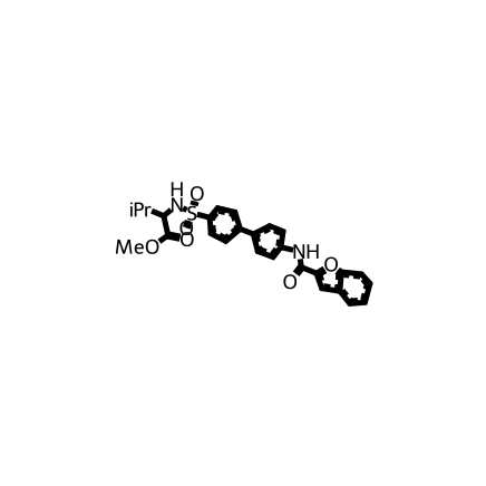 COC(=O)C(NS(=O)(=O)c1ccc(-c2ccc(NC(=O)c3cc4ccccc4o3)cc2)cc1)C(C)C